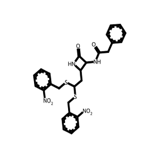 O=C(Cc1ccccc1)NC1C(=O)NC1CC(SCc1ccccc1[N+](=O)[O-])SCc1ccccc1[N+](=O)[O-]